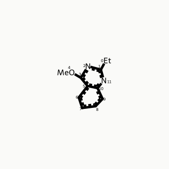 CCc1nc(OC)c2ccccc2n1